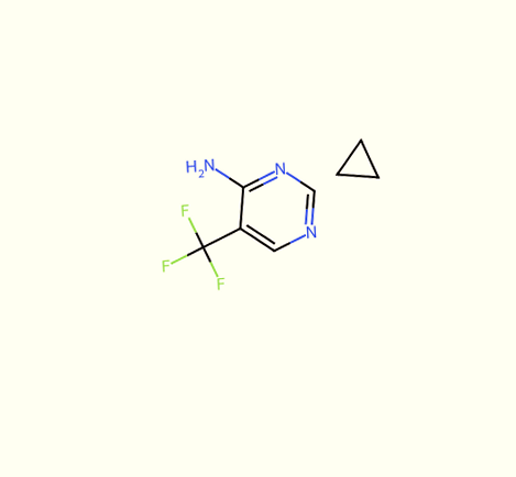 C1CC1.Nc1ncncc1C(F)(F)F